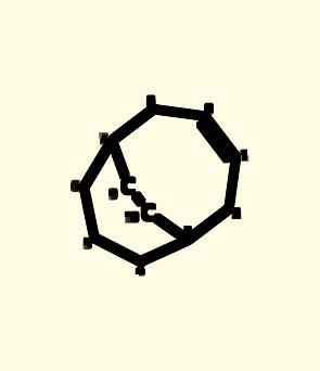 C1=CCC2CCCC(C1)CC2